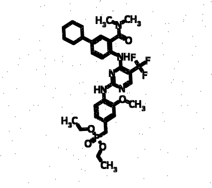 CCOP(=O)(Cc1ccc(Nc2ncc(C(F)(F)F)c(Nc3ccc(C4CCCCC4)cc3C(=O)N(C)C)n2)c(OC)c1)OCC